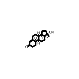 C[C@]1(C#N)CC[C@H]2[C@@H]3CCC4=CC(=O)CC[C@@H]4[C@H]3CC[C@@]21C